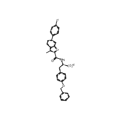 Cc1c(C(=O)N[C@H](Cc2ccc(OCc3ccccc3)cc2)C(=O)O)oc2cc(-c3ccc(Cl)cc3)ccc12